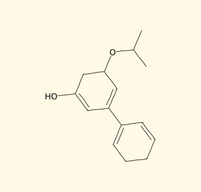 CC(C)OC1C=C(C2=CCCC=C2)C=C(O)C1